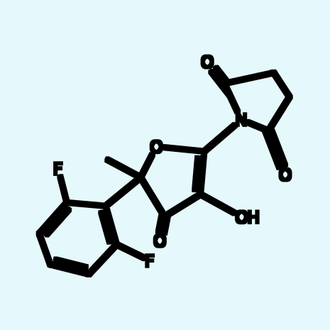 CC1(c2c(F)cccc2F)OC(N2C(=O)CCC2=O)=C(O)C1=O